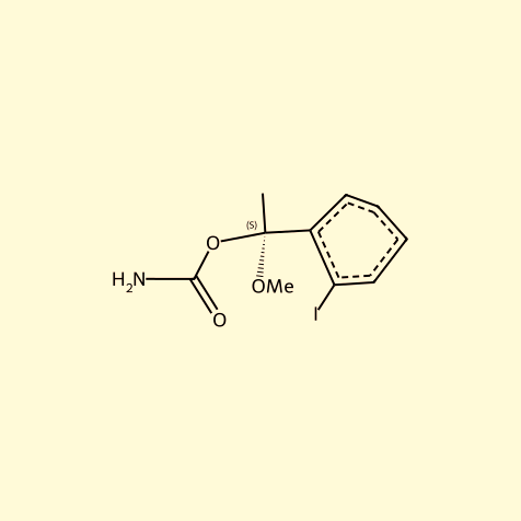 CO[C@@](C)(OC(N)=O)c1ccccc1I